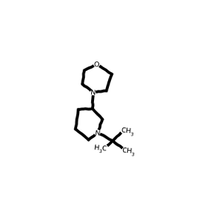 CC(C)(C)N1CCCC(N2CCOCC2)C1